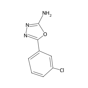 Nc1nnc(-c2cccc(Cl)c2)o1